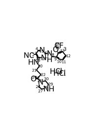 Cl.Cl.N#Cc1cnc(NCc2ccccc2OC(F)(F)F)nc1NCCCC(=O)N1CCNCC1